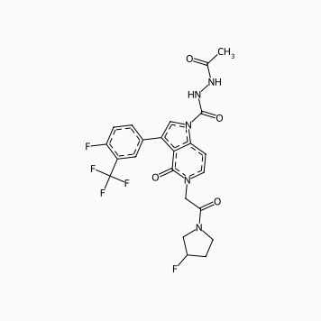 CC(=O)NNC(=O)n1cc(-c2ccc(F)c(C(F)(F)F)c2)c2c(=O)n(CC(=O)N3CCC(F)C3)ccc21